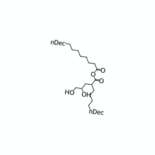 CCCCCCCCCCCCCCCCCC(=O)OC(=O)C(CCCCCCCCCCCCCC)CC(O)CO